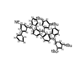 CC(C)(C)c1cc(-n2c3ccccc3c3c2ccc2c4ccc5c(c6ccccc6n5-c5cc(C#N)cc(-c6ccccc6)c5)c4n(-c4cc(C(C)(C)C)cc(C(C)(C)C)c4)c23)cc(C(C)(C)C)c1